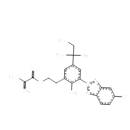 C=C(C)C(=O)OCCc1cc(C(C)(C)CC)cc(-n2nc3ccc(Cl)cc3n2)c1O